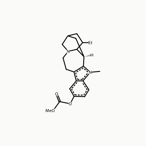 CCC1CC2C[C@H]3c4c(c5cc(OC(=O)OC)ccc5n4C)CCN(C2)C13